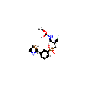 CC(C)(C)OC(=O)NC/C(=C\F)CS(=O)(=O)c1cccc(-c2nccs2)c1